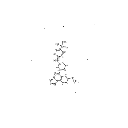 COc1ccc(-n2nccn2)c(C(=O)N2CCC[C@@H](Nc3cnc(C(F)(F)F)cn3)C2)c1